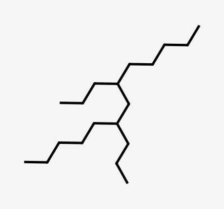 CCCCCC(CCC)CC(CCC)CCCCC